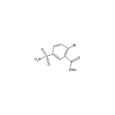 COC(=O)c1cc(S(N)(=O)=O)ccc1Br